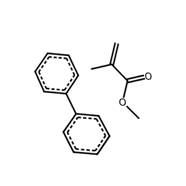 C=C(C)C(=O)OC.c1ccc(-c2ccccc2)cc1